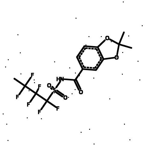 CC1(C)Oc2ccc(C(=O)NS(=O)(=O)C(F)(F)C(F)(F)C(C)(F)F)cc2O1